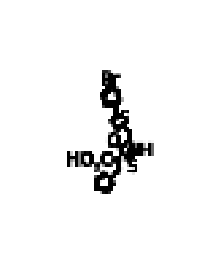 O=C(O)C(Cc1ccccc1)N1C(=O)/C(=C\c2ccc(-c3ccc(Br)cc3)s2)NC1=S